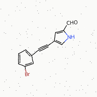 O=Cc1cc(C#Cc2cccc(Br)c2)c[nH]1